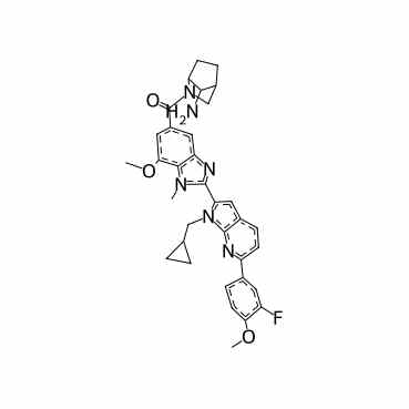 COc1ccc(-c2ccc3cc(-c4nc5cc(C(=O)N6CC7CCC6C7N)cc(OC)c5n4C)n(CC4CC4)c3n2)cc1F